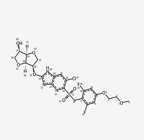 COCCOc1cc(F)c(CS(=O)(=O)c2nc3nc(O[C@@H]4CO[C@H]5[C@@H]4OC[C@H]5O)[nH]c3cc2Cl)c(F)c1